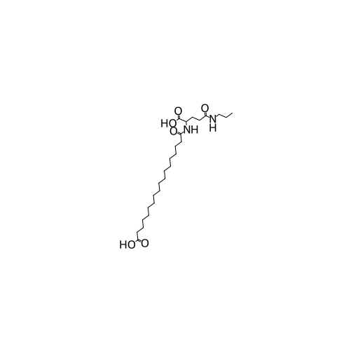 CCCNC(=O)CCC(NC(=O)CCCCCCCCCCCCCCCCC(=O)O)C(=O)O